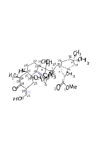 COC(=O)CC[C@]1(CCC(C)(C)[C@]2(C)CC[C@H]3[C@H](C)C(=O)/C(=C\O)C[C@]3(C)/C2=C/C(C)=O)CCC(C)(C)CC1C